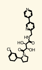 O=C(NCc1ccc(-c2ccncc2)cn1)[C@H](O)[C@@H](O)C(=O)N1CCCC1C1=CC(Cl)=CCC1